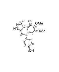 COc1cc2c(-c3ccc(O)cc3)cc3[nH]nc(C)c3c2c(F)c1OC